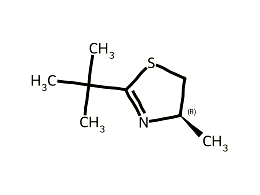 C[C@@H]1CSC(C(C)(C)C)=N1